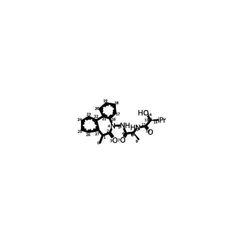 CC1C(=O)N(NC(=O)[C@H](C)NC(=O)[C@@H](O)C(C)C)c2ccccc2-c2ccccc21